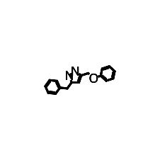 C1=C(COc2ccccc2)N=NC1Cc1ccccc1